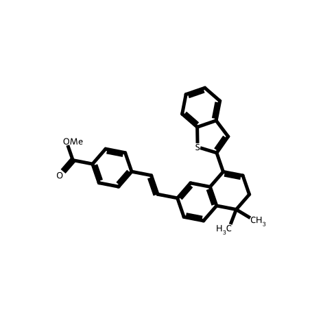 COC(=O)c1ccc(C=Cc2ccc3c(c2)C(c2cc4ccccc4s2)=CCC3(C)C)cc1